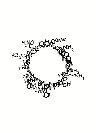 CCCC[C@H]1C(=O)N(C)[C@@H](CCCC)C(=O)N[C@@H](CCC(=O)O)C(=O)N[C@H](C(=O)NCC(N)=O)CSCC(=O)N[C@@H](Cc2ccc(OC)cc2)C(=O)N(C)[C@@H](C)C(=O)N[C@@H](CC(N)=O)C(=O)N2CCC[C@H]2C(=O)N[C@@H](CN)C(=O)N[C@@H](CCCCN)C(=O)N2C[C@H](O)C[C@H]2C(=O)N[C@@H](Cc2c[nH]c3ccccc23)C(=O)N[C@@H](CC(=O)O)C(=O)N[C@@H](Cc2c[nH]c3ccccc23)C(=O)N1C